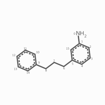 Nc1cccc(CCCc2ccccc2)c1